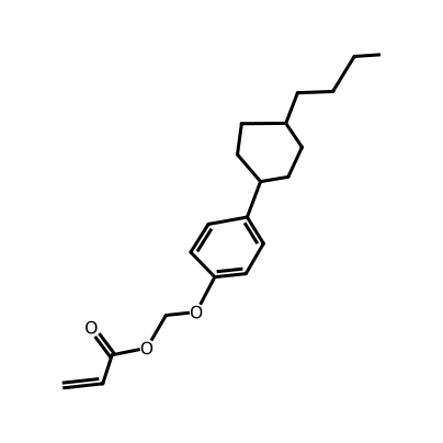 C=CC(=O)OCOc1ccc(C2CCC(CCCC)CC2)cc1